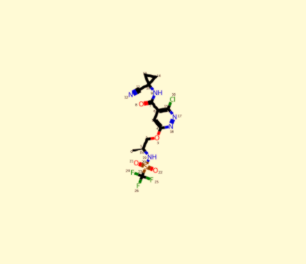 C[C@@H](COc1cc(C(=O)NC2(C#N)CC2)c(Cl)nn1)NS(=O)(=O)C(F)(F)F